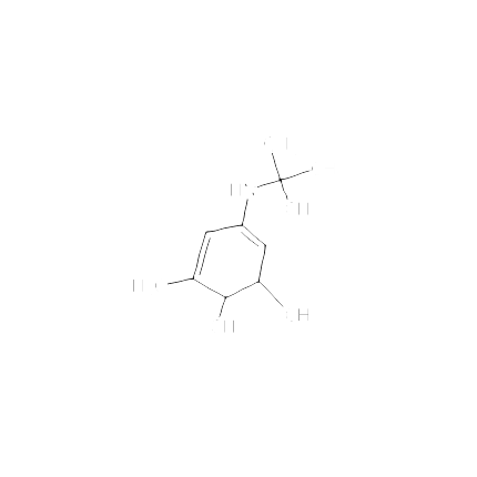 CC1=CC(NC(C)(C)C)=CC(C)C1C